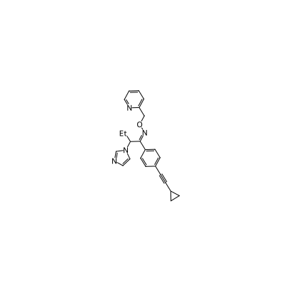 CCC(/C(=N\OCc1ccccn1)c1ccc(C#CC2CC2)cc1)n1ccnc1